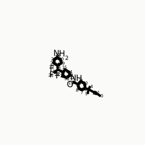 CC#CC(C)(C)c1ccc(C(=O)Nc2ccc(C(c3ccc(N)cc3)C(F)(F)F)cc2)cc1